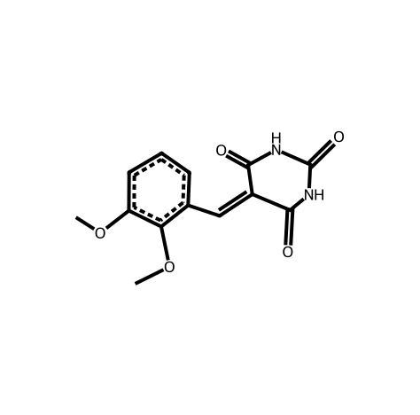 COc1cccc(C=C2C(=O)NC(=O)NC2=O)c1OC